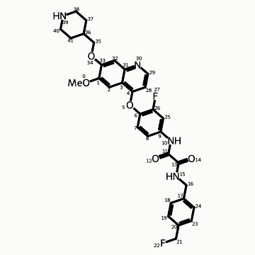 COc1cc2c(Oc3ccc(NC(=O)C(=O)NCc4ccc(CF)cc4)cc3F)ccnc2cc1OCC1CCNCC1